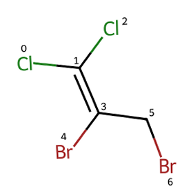 ClC(Cl)=C(Br)CBr